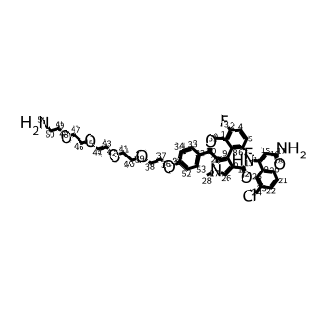 Cc1c(F)ccc(F)c1-c1c(C(=O)NC(=CC(N)=O)c2cccc(Cl)c2)cn(C)c1C(=O)c1ccc(OCCOCCOCCOCCOCCN)cc1